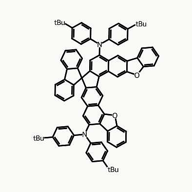 CC(C)(C)c1ccc(N(c2ccc(C(C)(C)C)cc2)c2cc3c(c4cc5oc6ccccc6c5cc24)-c2cc4c(cc2C32c3ccccc3-c3ccccc32)cc(N(c2ccc(C(C)(C)C)cc2)c2ccc(C(C)(C)C)cc2)c2c3ccccc3oc42)cc1